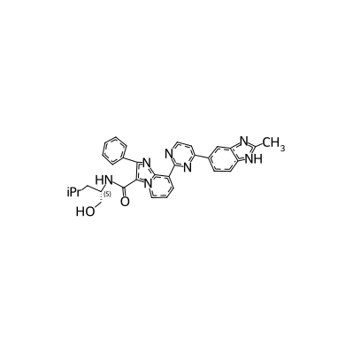 Cc1nc2cc(-c3ccnc(-c4cccn5c(C(=O)N[C@H](CO)CC(C)C)c(-c6ccccc6)nc45)n3)ccc2[nH]1